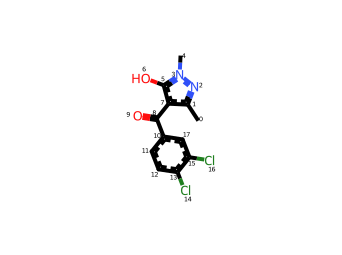 Cc1nn(C)c(O)c1C(=O)c1ccc(Cl)c(Cl)c1